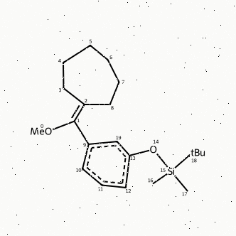 COC(=C1CCCCCC1)c1cccc(O[Si](C)(C)C(C)(C)C)c1